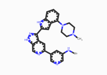 CC(C)Nc1cncc(-c2cc3c(-c4cc5c(N6CCN(C)CC6)cccc5[nH]4)n[nH]c3cn2)c1